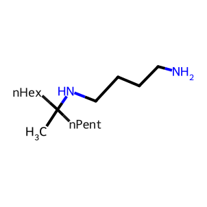 CCCCCCC(C)(CCCCC)NCCCCN